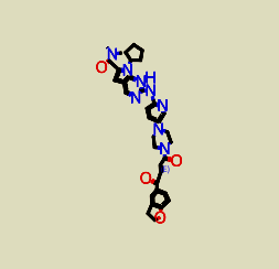 CN(C)C(=O)c1cc2cnc(Nc3ccc(N4CCN(C(=O)/C=C/C(=O)c5ccc6c(c5)CCO6)CC4)cn3)nc2n1C1CCCC1